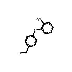 O=[N+]([O-])c1ccccc1Oc1ccc(CCl)cc1